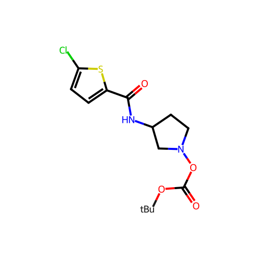 CC(C)(C)OC(=O)ON1CCC(NC(=O)c2ccc(Cl)s2)C1